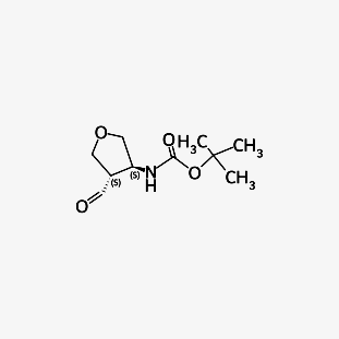 CC(C)(C)OC(=O)N[C@@H]1COC[C@H]1C=O